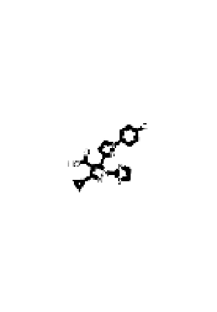 O=C(O)c1c(C2CC2)nn(-c2nccs2)c1-c1ccn(-c2ccc(Cl)cc2)n1